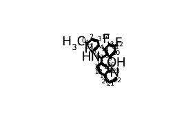 Cc1cccc(NC(c2ccc(F)c(F)c2)c2ccc3cccnc3c2O)n1